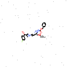 CC(C)(C)OC[C@H](CCN1CC(C(=O)c2ccc(F)cc2)C1)NC(=O)OCc1ccccc1